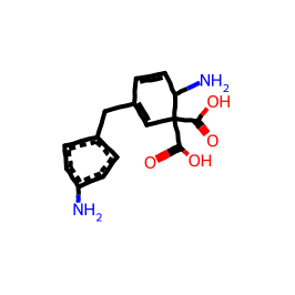 Nc1ccc(CC2=CC(C(=O)O)(C(=O)O)C(N)C=C2)cc1